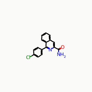 NC(=O)c1cc2ccccc2c(-c2ccc(Cl)cc2)n1